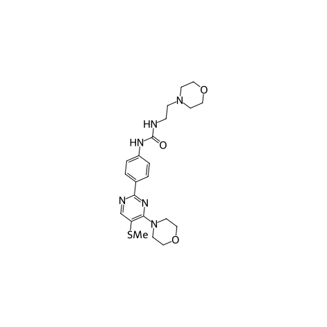 CSc1cnc(-c2ccc(NC(=O)NCCN3CCOCC3)cc2)nc1N1CCOCC1